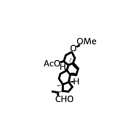 COCOC1CC2=CC=C3[C@@H]4CC[C@H](C(C)C=O)[C@@]4(C)CC[C@@H]3[C@@]2(C)C(OC(C)=O)C1